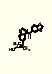 CC(C)(CCO)Sc1ccc2ncnc(Nc3ccc4scnc4c3)c2c1